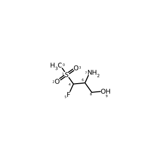 CS(=O)(=O)C(F)C(N)CO